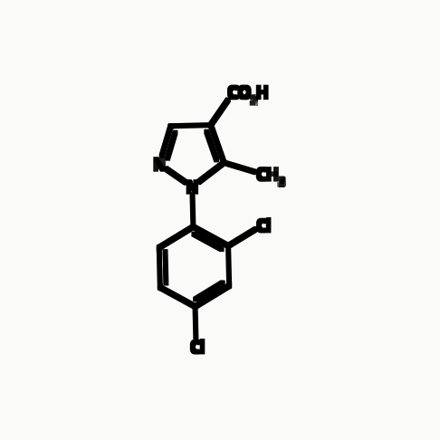 Cc1c(C(=O)O)cnn1-c1ccc(Cl)cc1Cl